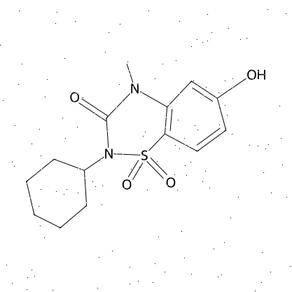 CN1C(=O)N(C2CCCCC2)S(=O)(=O)c2ccc(O)cc21